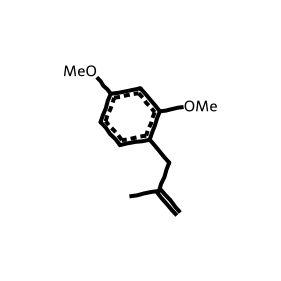 C=C(C)Cc1ccc(OC)cc1OC